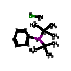 CC(C)(C)P(c1ccccc1)C(C)(C)C.[Cl][Pd]